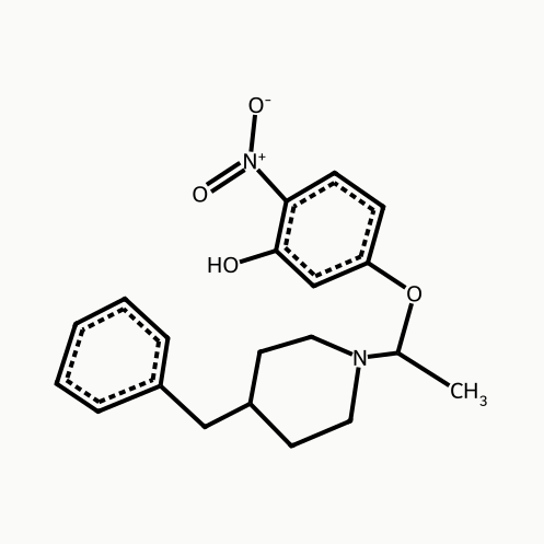 CC(Oc1ccc([N+](=O)[O-])c(O)c1)N1CCC(Cc2ccccc2)CC1